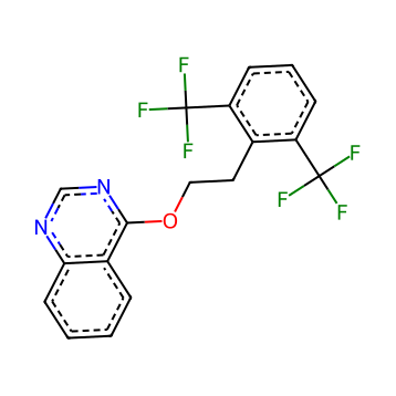 FC(F)(F)c1cccc(C(F)(F)F)c1CCOc1ncnc2ccccc12